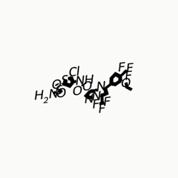 CCOc1cc(-c2cc(C(F)(F)F)n3ncc(OC(=O)Nc4cc(S(N)(=O)=O)sc4Cl)c3n2)ccc1C(F)(F)F